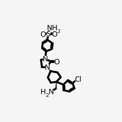 NC[C@]1(c2cccc(Cl)c2)CC[C@H](N2CCN(c3ccc(S(N)(=O)=O)cc3)C2=O)CC1